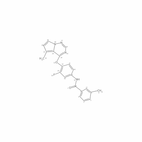 Cc1cccc(C(=O)Nc2ccc(Oc3ncnn4ccc(C)c34)c(F)c2)c1